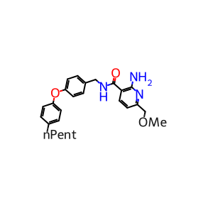 CCCCCc1ccc(Oc2ccc(CNC(=O)c3ccc(COC)nc3N)cc2)cc1